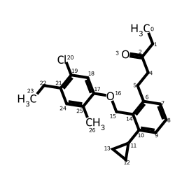 CCC(=O)CCc1cccc(C2CC2)c1COc1cc(Cl)c(CC)cc1C